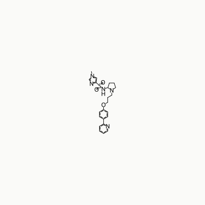 Cn1cnc(S(=O)(=O)NC2CCCN2CCCOc2ccc(-c3ccccn3)cc2)c1